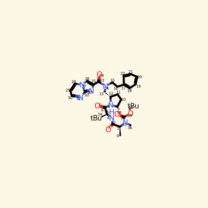 C[C@@H](C(=O)N[C@H](C(=O)N1CCC[C@H]1CN(CCc1ccccc1)C(=O)c1cn2cccnc2n1)C(C)(C)C)N(C)C(=O)OC(C)(C)C